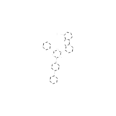 Brc1cccc2c1oc1c(-c3nc(-c4ccccc4)nc(-c4ccc(-c5ccccc5)cc4)n3)cccc12